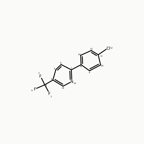 FC(F)(F)c1ccc(-c2ccc(Cl)cc2)nc1